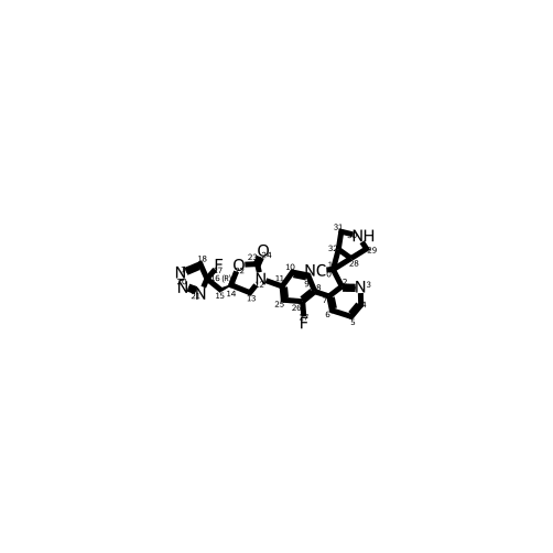 N#CC1(c2ncccc2-c2ccc(N3C[C@@H](CC4(F)C=NN=N4)OC3=O)cc2F)C2CNCC21